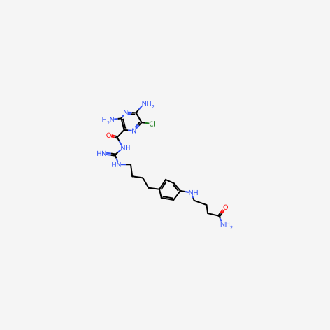 N=C(NCCCCc1ccc(NCCCC(N)=O)cc1)NC(=O)c1nc(Cl)c(N)nc1N